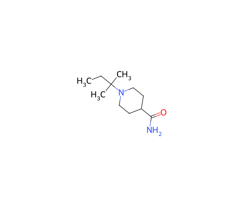 CCC(C)(C)N1CCC(C(N)=O)CC1